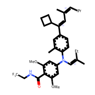 CC/C(C)=C\N(c1cc(OC)c(C(=O)NCC(F)(F)F)c(OC)c1)c1ccc(/C(=C/C(C)=C\C(C)C)C2CCC2)cc1C